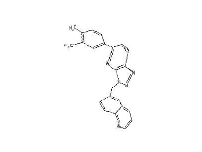 Cc1ccc(-c2ccc3nnn(Cc4ccc5ncccc5c4)c3n2)cc1C(F)(F)F